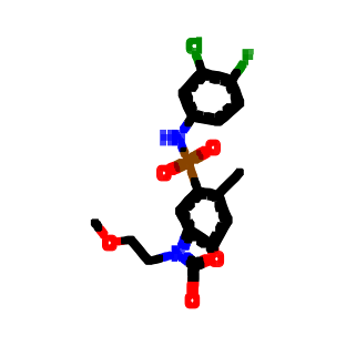 COCCn1c(=O)oc2cc(C)c(S(=O)(=O)Nc3ccc(F)c(Cl)c3)cc21